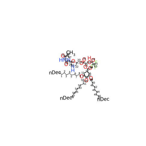 CCCCCCCCCCCCCCCCCCOc1cc(C(=O)OCC(=O)OCC2CNCC(n3cc(C)c(=O)[nH]c3=O)O2)cc(OCCCCCCCCCCCCCCCCCC)c1OCCCCCCCCCCCCCCCCCC.O=C(O)C(F)(F)F